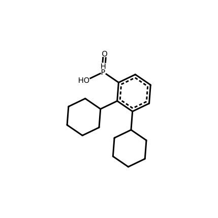 O=[PH](O)c1cccc(C2CCCCC2)c1C1CCCCC1